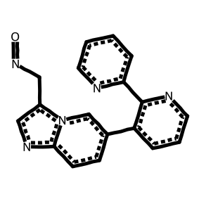 O=NCc1cnc2ccc(-c3cccnc3-c3ccccn3)cn12